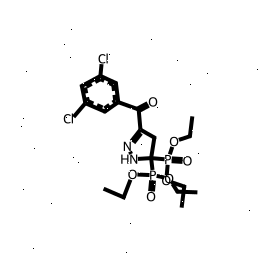 CCOP(=O)(OCC)C1(P(=O)(OCC)OCC)CC(C(=O)c2cc(Cl)cc(Cl)c2)=NN1